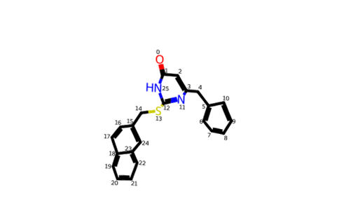 O=c1cc(Cc2ccccc2)nc(SCc2ccc3ccccc3c2)[nH]1